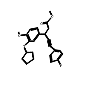 COC(=O)CC(C#Cc1ccc(F)cc1)c1ccc(OC)c(OC2CCCC2)c1